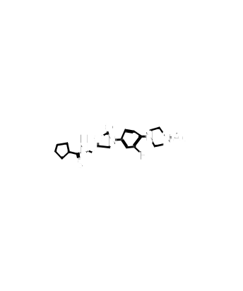 CC(=O)N1CCN(c2ccc(N3C[C@H](CNC(=S)C4CCCC4)OC3=O)cc2F)CC1